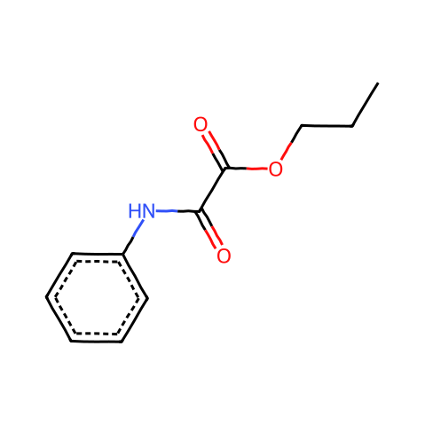 CCCOC(=O)C(=O)Nc1ccccc1